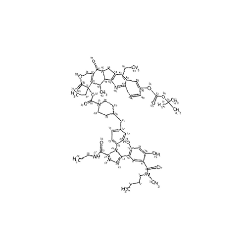 CCCCN(C)C(=O)c1cc(-c2nnc(C(=O)NCC)n2-c2ccc(CC3CCN(C(=O)OC4(CC)C(=O)OCC5=C4C(C)C4c6nc7ccc(OC(=O)OC(C)(C)C)cc7c(CC)c6CN4C5=O)CC3)cc2)c(O)cc1O